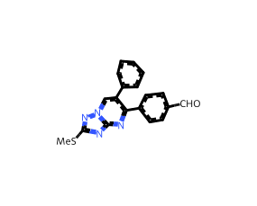 CSc1nc2nc(-c3ccc(C=O)cc3)c(-c3ccccc3)cn2n1